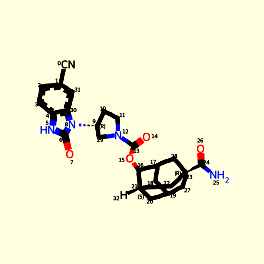 N#Cc1ccc2[nH]c(=O)n([C@@H]3CCN(C(=O)OC4C5CC6C[C@H]4C[C@@](C(N)=O)(C6)C5)C3)c2c1